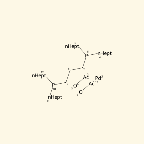 CC(=O)[O-].CC(=O)[O-].CCCCCCCP(CCCCCCC)CCCP(CCCCCCC)CCCCCCC.[Pd+2]